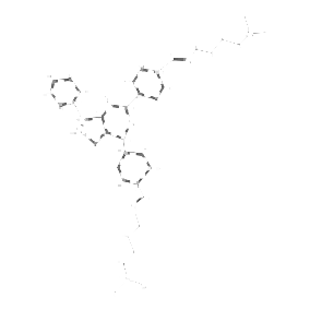 CN(C)CCCCN=Cc1ccc(-c2nc(-c3ccc(C=NCCCCN(C)C)cc3)c3cnn(-c4ccccc4)c3n2)cc1